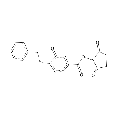 O=C(ON1C(=O)CCC1=O)c1cc(=O)c(OCc2ccccc2)co1